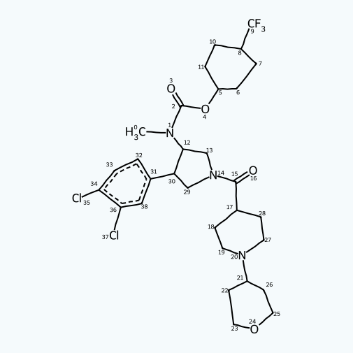 CN(C(=O)OC1CCC(C(F)(F)F)CC1)C1CN(C(=O)C2CCN(C3CCOCC3)CC2)CC1c1ccc(Cl)c(Cl)c1